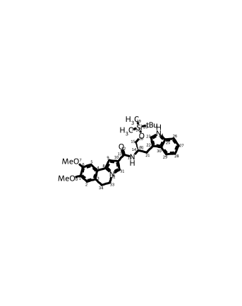 COc1cc2c(cc1OC)-c1cc(C(=O)N[C@@H](CO[Si](C)(C)C(C)(C)C)Cc3c[nH]c4ccccc34)cn1CC2